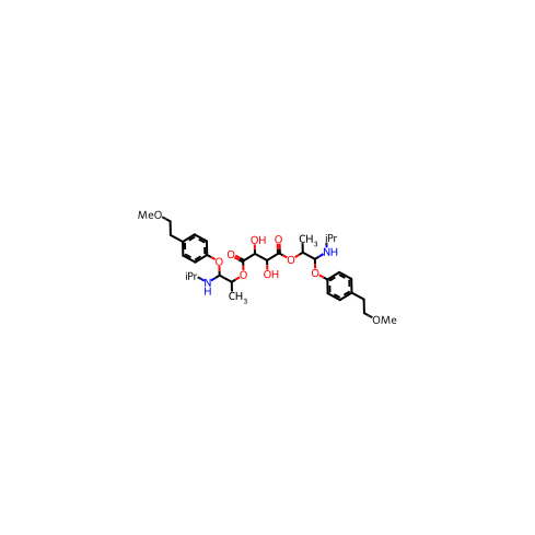 COCCc1ccc(OC(NC(C)C)C(C)OC(=O)C(O)C(O)C(=O)OC(C)C(NC(C)C)Oc2ccc(CCOC)cc2)cc1